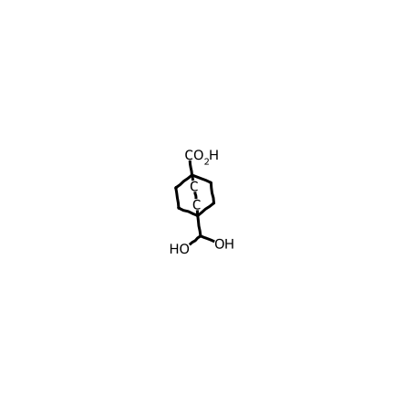 O=C(O)C12CCC(C(O)O)(CC1)CC2